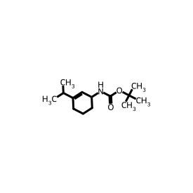 CC(C)C1=CC(NC(=O)OC(C)(C)C)CCC1